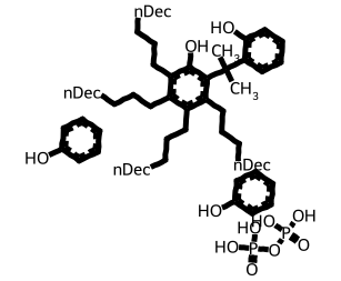 CCCCCCCCCCCCCc1c(O)c(C(C)(C)c2ccccc2O)c(CCCCCCCCCCCCC)c(CCCCCCCCCCCCC)c1CCCCCCCCCCCCC.O=P(O)(O)OP(=O)(O)O.Oc1ccccc1.Oc1ccccc1